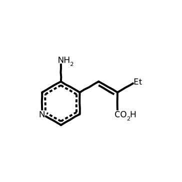 CCC(=Cc1ccncc1N)C(=O)O